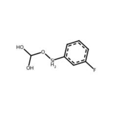 OC(O)O[SiH2]c1cccc(F)c1